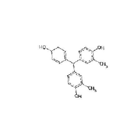 Cc1cc(C(C2=CCC(O)C=C2)c2ccc(O)c(C)c2)ccc1O